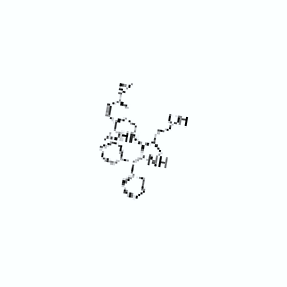 COc1ccc(SC)cc1CNC1C(CCO)CNC1C(c1ccccc1)c1ccccc1